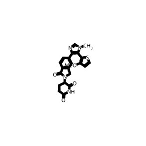 COc1ccsc1-c1c(-c2ccc3c(c2)CN(C2CCC(=O)NC2=O)C3=O)ncn1C